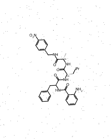 CC(C)C[C@H](NC(=O)C(Cc1ccccc1)NC(=O)c1ccccc1N)C(=O)N[C@@H](C)C(=O)NCc1ccc([N+](=O)[O-])cc1